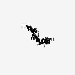 C[N+]1(C)CC[C@H](O)[C@H]1C(=O)N1CCN(C(=O)c2ccc(NC(=O)c3ncc(-c4cn(-c5ccc(N)cn5)nc4C(F)(F)F)[nH]3)cc2Cl)CC1